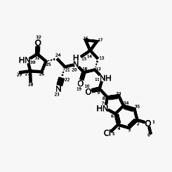 COc1cc(Cl)c2[nH]c(C(=O)N[C@@H](CC3(C)CC3)C(=O)N[C@H](C#N)C[C@@H]3CC(C)(C)NC3=O)cc2c1